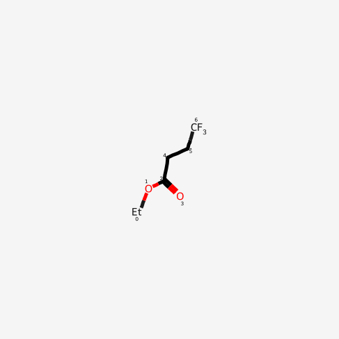 CCOC(=O)C[CH]C(F)(F)F